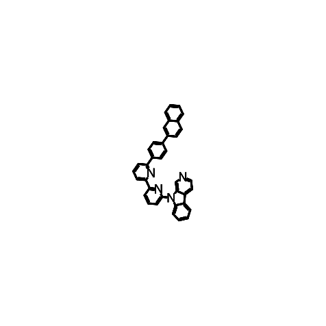 c1cc(-c2ccc(-c3ccc4ccccc4c3)cc2)nc(-c2cccc(-n3c4ccccc4c4ccncc43)n2)c1